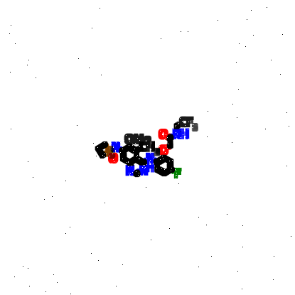 COc1c(N=S2(=O)CCC2)cc2ncnc(Nc3ccc(F)cc3OCC(=O)NCC(F)(F)F)c2c1C